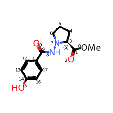 COC(=O)[C@@H]1CCCN1NC(=O)c1ccc(O)cc1